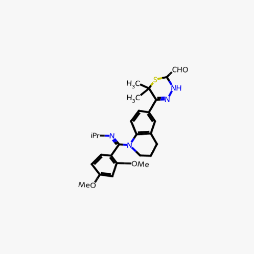 COc1ccc(C(=NC(C)C)N2CCCc3cc(C4=NNC(C=O)SC4(C)C)ccc32)c(OC)c1